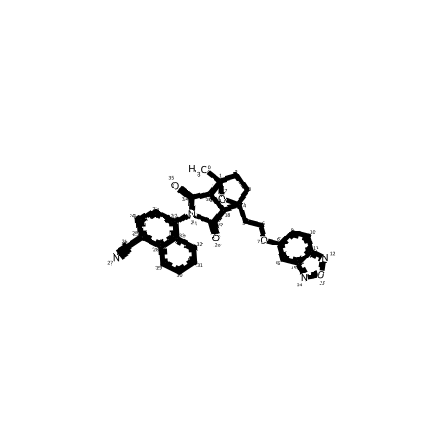 CC12CCC(CCOc3ccc4nonc4c3)(O1)C1C(=O)N(c3ccc(C#N)c4ccccc34)C(=O)C12